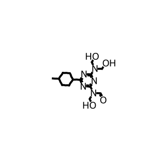 CC1CCC(c2nc(N(C=O)CO)nc(N(CO)CO)n2)CC1